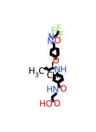 CCC(C)[C@@H](COc1ccc(-c2nnc(C(F)(F)F)o2)cc1)Nc1ccc(C(=O)NCCC(=O)O)cc1